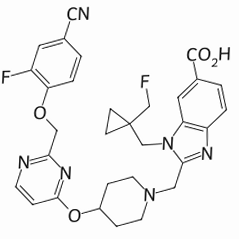 N#Cc1ccc(OCc2nccc(OC3CCN(Cc4nc5ccc(C(=O)O)cc5n4CC4(CF)CC4)CC3)n2)c(F)c1